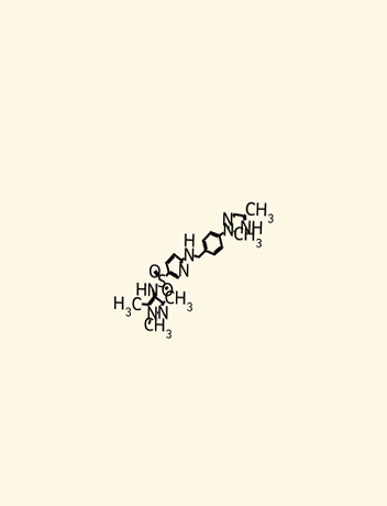 CC(=N)/C=N\N(C)c1ccc(CNc2ccc(S(=O)(=O)Nc3c(C)nn(C)c3C)cn2)cc1